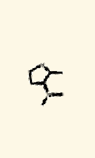 CC1[N]CCC1N(C)C